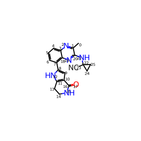 Cc1nc2cccc(-c3cc4c([nH]3)CCNC4=O)c2nc1NC1(C#N)CC1